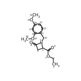 CCOC(=O)C1CC(=O)N1Cc1ccc(OC)cc1OC